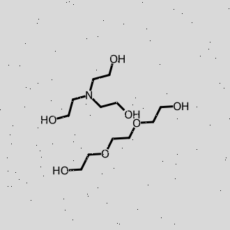 OCCN(CCO)CCO.OCCOCCOCCO